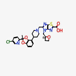 C[C@]1(c2ccc(Cl)cn2)Oc2cccc(C3CCN(Cc4nc5sc(C(=O)O)nc5n4C[C@@H]4CCO4)CC3)c2O1